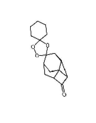 O=C1C2CC3CC24CC(CC14)C31OOC2(CCCCC2)O1